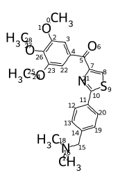 COc1cc(C(=O)c2csc(-c3ccc(CN(C)C)cc3)n2)cc(OC)c1OC